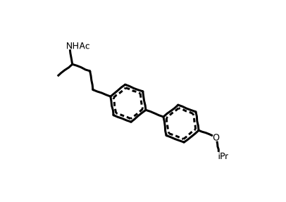 CC(=O)NC(C)CCc1ccc(-c2ccc(OC(C)C)cc2)cc1